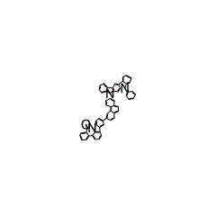 O=c1c2ccccc2c2cccc3c4cc(-c5ccc6ccc7cc(-n8c9ccccc9c9cc%10c%11ccccc%11n(-c%11ccccc%11)c%10cc98)ccc7c6c5)ccc4n1c23